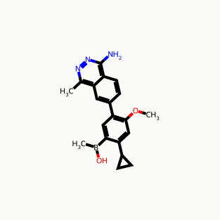 COc1cc(C2CC2)c(B(C)O)cc1-c1ccc2c(N)nnc(C)c2c1